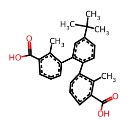 Cc1c(C(=O)O)cccc1-c1ccc(C(C)(C)C)cc1-c1cccc(C(=O)O)c1C